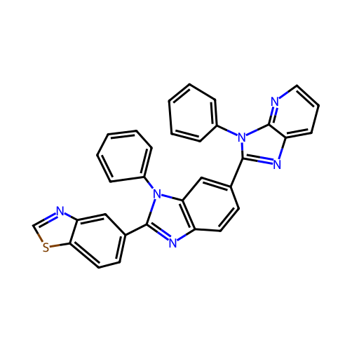 c1ccc(-n2c(-c3ccc4scnc4c3)nc3ccc(-c4nc5cccnc5n4-c4ccccc4)cc32)cc1